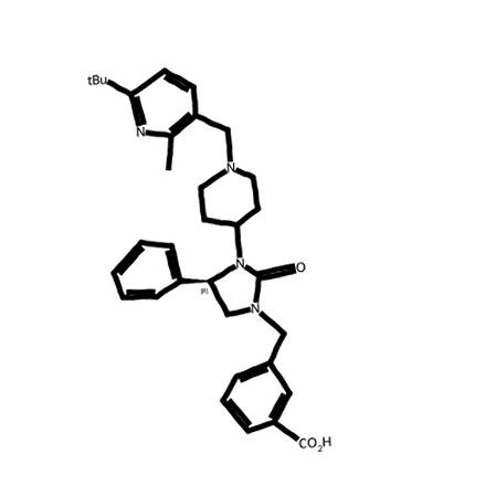 Cc1nc(C(C)(C)C)ccc1CN1CCC(N2C(=O)N(Cc3cccc(C(=O)O)c3)C[C@H]2c2ccccc2)CC1